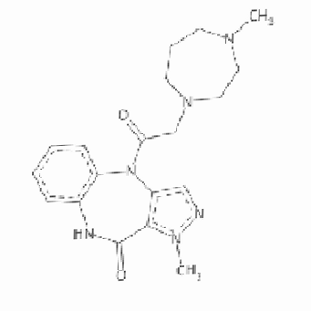 CN1CCCN(CC(=O)N2c3ccccc3NC(=O)c3c2cnn3C)CC1